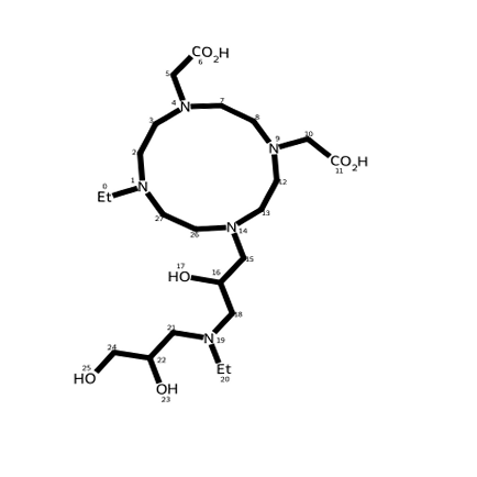 CCN1CCN(CC(=O)O)CCN(CC(=O)O)CCN(CC(O)CN(CC)CC(O)CO)CC1